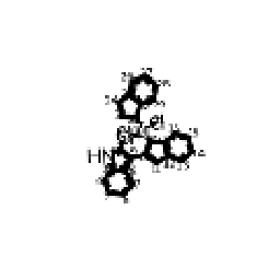 Cc1[nH]c2ccccc2c1C1=Cc2ccccc2[CH]1[Zr]([Cl])([Cl])[CH]1C=Cc2ccccc21